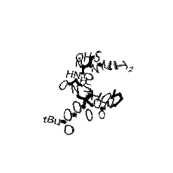 CC(C)(C)C(=O)OCOC(=O)C1(COC(=O)N2CCCC2(C)O)CS[C@@H]2C(NC(=O)C(=NO)c3csc(N)n3)C(=O)N2C1